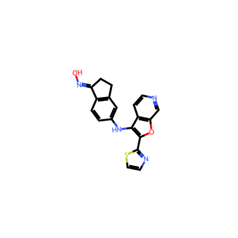 O/N=C1\CCc2cc(Nc3c(-c4nccs4)oc4cnccc34)ccc21